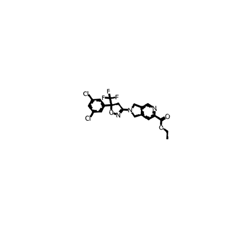 CCOC(=O)c1cc2c(cn1)CN(C1=NOC(c3cc(Cl)cc(Cl)c3)(C(F)(F)F)C1)C2